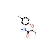 CCC1Oc2ccc(C)cc2NC1=O